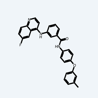 Cc1cccc(Oc2ccc(NC(=O)c3cccc(Nc4ccnc5ccc(F)cc45)c3)cc2)c1